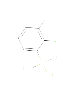 CS(C)(S)c1cccc(Cl)c1F